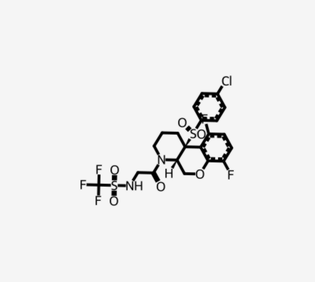 O=C(CNS(=O)(=O)C(F)(F)F)N1CCC[C@]2(S(=O)(=O)c3ccc(Cl)cc3)c3c(F)ccc(F)c3OC[C@H]12